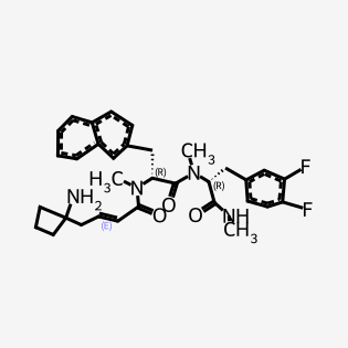 CNC(=O)[C@@H](Cc1ccc(F)c(F)c1)N(C)C(=O)[C@@H](Cc1ccc2ccccc2c1)N(C)C(=O)/C=C/CC1(N)CCC1